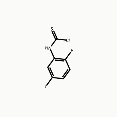 Fc1ccc(I)cc1NC(=S)Cl